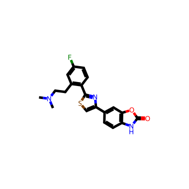 CN(C)CCc1cc(F)ccc1-c1nc(-c2ccc3[nH]c(=O)oc3c2)cs1